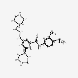 CNc1ccc(NC(=O)c2cc(OCCN3CCOCC3)nc(N3CCOCC3)n2)cc1C